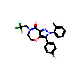 Cc1ccccc1-n1nc2c(c1-c1ccc(Cl)cc1)OCCN(CC(F)(F)F)C2=O